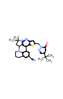 CC1(C)CC(N2CCCc3cc(C#N)cc(-c4ccnc5cc(Cn6ncc(C(C)(C)C)cc6=O)sc45)c32)CN1